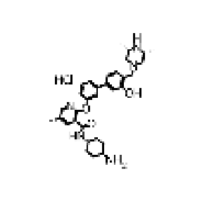 C[C@@H]1CN(Cc2ccc(-c3cccc(Oc4ncc(F)cc4C(=O)N[C@H]4CC[C@H](N)CC4)c3)cc2O)C[C@H](C)N1.Cl